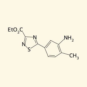 CCOC(=O)c1nsc(-c2ccc(C)c(N)c2)n1